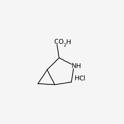 Cl.O=C(O)C1NCC2CC21